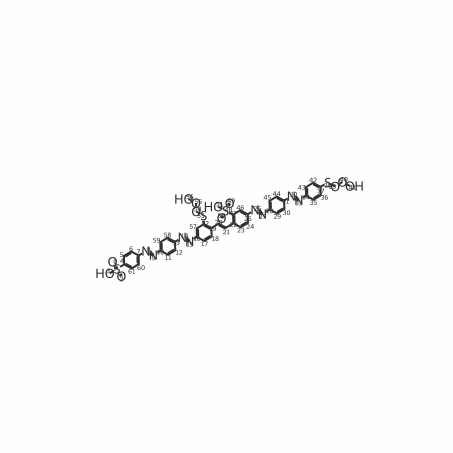 O=S(=O)(O)c1ccc(N=Nc2ccc(N=Nc3ccc(C=Cc4ccc(N=Nc5ccc(N=Nc6ccc(SOOO)cc6)cc5)cc4S(=O)(=O)O)c(SOOO)c3)cc2)cc1